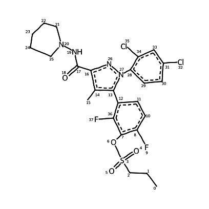 CCCS(=O)(=O)Oc1c(F)ccc(-c2c(C)c(C(=O)NN3CCCCC3)nn2-c2ccc(Cl)cc2Cl)c1F